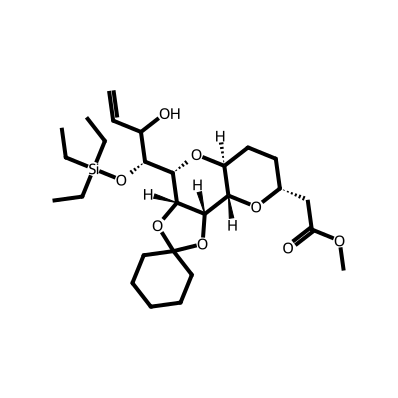 C=CC(O)[C@@H](O[Si](CC)(CC)CC)[C@@H]1O[C@H]2CC[C@H](CC(=O)OC)O[C@@H]2[C@@H]2OC3(CCCCC3)O[C@@H]21